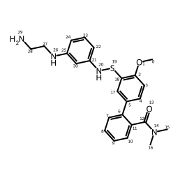 COc1ccc(-c2ccccc2C(=O)N(C)C)cc1SNc1cccc(NCCN)c1